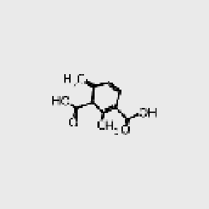 C=C1C=CC(C(=O)O)=C(C)C1C(=O)O